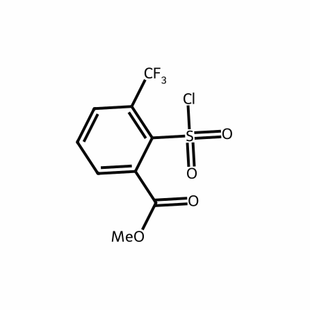 COC(=O)c1cccc(C(F)(F)F)c1S(=O)(=O)Cl